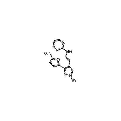 CC(C)n1cc(C=NNc2ccccn2)c(-c2ccc([N+](=O)[O-])o2)n1